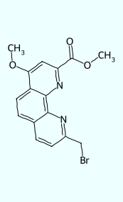 COC(=O)c1cc(OC)c2ccc3ccc(CBr)nc3c2n1